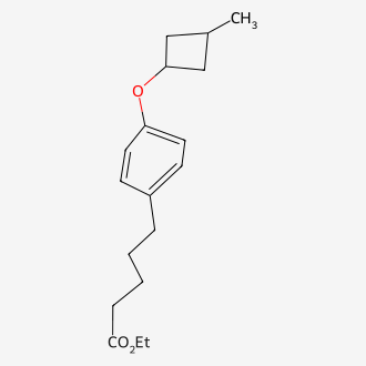 CCOC(=O)CCCCc1ccc(OC2CC(C)C2)cc1